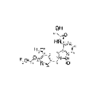 Cc1cc(CN2Cc3c(ccnc3NC(=O)CO)C2=O)cnc1OCC(F)(F)F